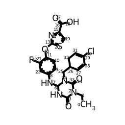 CCN1C(=O)NC(Nc2ccc(Oc3nc(C(=O)O)cs3)c(F)c2)N(CC2C=CC(Cl)=CC2)C1=O